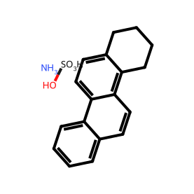 N.O=S(=O)(O)O.c1ccc2c(c1)ccc1c3c(ccc12)CCCC3